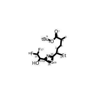 CCC(CCC(C)C(=O)OC(C)(C)C)c1nc(C(O)C(F)F)cs1